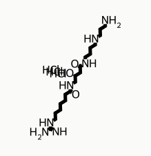 Cl.Cl.Cl.N=C(N)NCCCCCCC(=O)NC[C@@H](O)CC(=O)NCCCCNCCCN